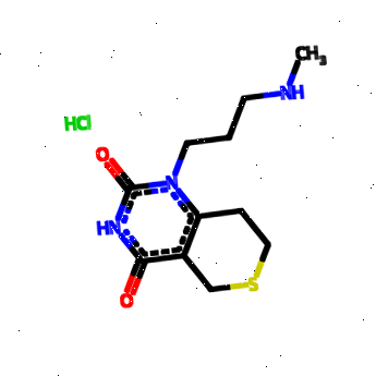 CNCCCn1c2c(c(=O)[nH]c1=O)CSCC2.Cl